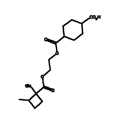 CC1CCC1(C(=O)OCCOC(=O)C1CCC(C(=O)O)CC1)C(C)(C)C